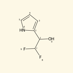 OC(c1ccc[nH]1)C(F)F